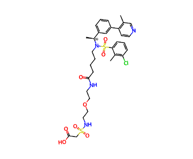 Cc1cnccc1-c1cccc([C@H](C)N(CCCCC(=O)NCCOCCNS(=O)(=O)CC(=O)O)S(=O)(=O)c2cccc(Cl)c2C)c1